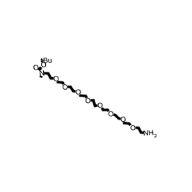 CN(CCOCCOCCOCCOCCOCCOCCOCCOCCN)C(=O)OC(C)(C)C